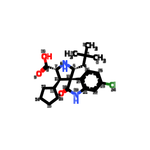 CC(C)(C)C[C@H]1N[C@@H](C(=O)O)[C@H](C2CCCC2)[C@@]12C(=O)Nc1cc(Cl)ccc12